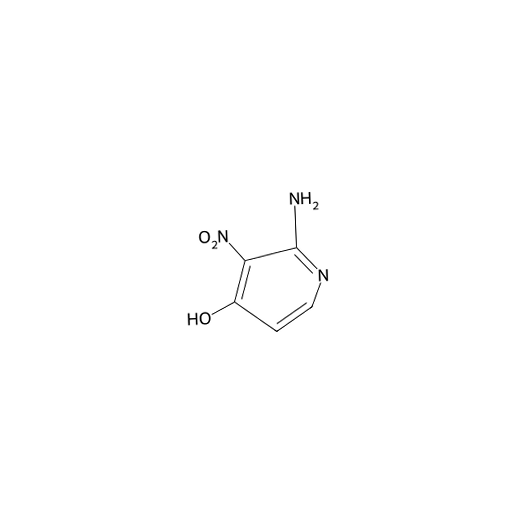 Nc1nccc(O)c1[N+](=O)[O-]